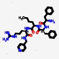 CCCCC(NC(=O)[C@@H](Cc1ccccc1)NC(=O)C(N)Cc1ccccc1)C(=O)N[C@H](CCCNC(=N)N)C(=O)NCc1ccncc1